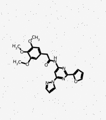 COc1cc(CC(=O)Nc2cc(-n3cccn3)nc(-c3ccco3)n2)cc(OC)c1OC